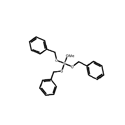 CO[Si](OCc1ccccc1)(OCc1ccccc1)OCc1ccccc1